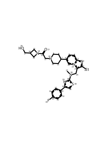 CCc1nc2ccc(C3CCN(CC(=O)N4CC(CO)C4)CC3)cn2c1CN(C)c1nc(-c2ccc(F)cc2)cs1